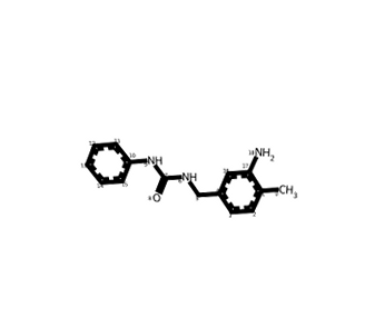 Cc1ccc(CNC(=O)Nc2ccccc2)cc1N